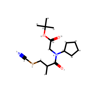 CC(CSC#N)C(=O)N(CC(=O)OC(C)(C)C)C1CCCC1